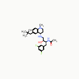 CC(=O)N[C@@H](Cc1cc(F)cc(F)c1)[C@@H](O)CN[C@H]1CCN(C)c2ccc(CC(C)(C)C)cc21